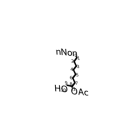 CCCCCCCCCCCCCCCCC(CO)OC(C)=O